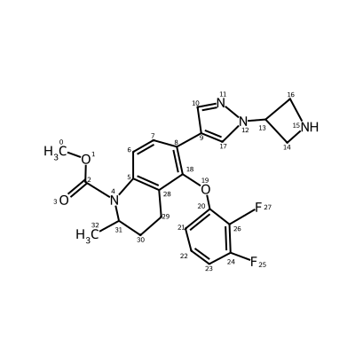 COC(=O)N1c2ccc(-c3cnn(C4CNC4)c3)c(Oc3cccc(F)c3F)c2CCC1C